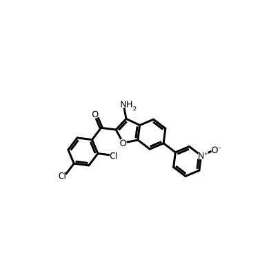 Nc1c(C(=O)c2ccc(Cl)cc2Cl)oc2cc(-c3ccc[n+]([O-])c3)ccc12